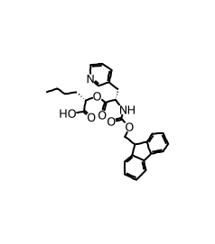 CCCC[C@H](OC(=O)[C@H](Cc1cccnc1)NC(=O)OCC1c2ccccc2-c2ccccc21)C(=O)O